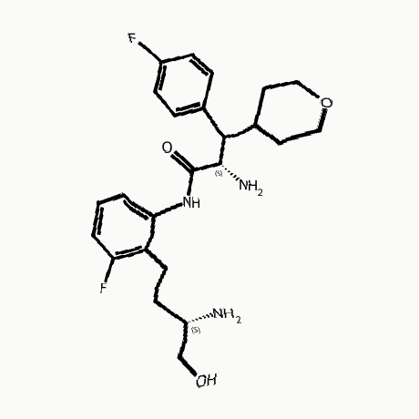 N[C@H](CO)CCc1c(F)cccc1NC(=O)[C@@H](N)C(c1ccc(F)cc1)C1CCOCC1